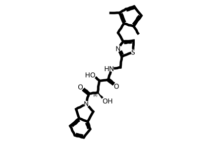 Cc1cccc(C)c1Cc1csc(CNC(=O)C(O)[C@@H](O)C(=O)N2Cc3ccccc3C2)n1